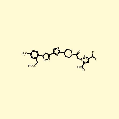 Cc1ccc(C2CC(c3csc(C4CCN(C(=O)Cn5nc(C(F)F)cc5C(F)F)CC4)n3)=NO2)c(CS(=O)(=O)O)c1